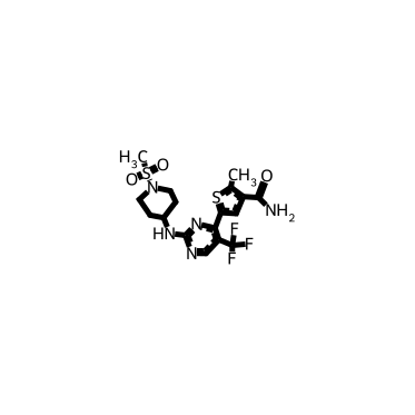 Cc1sc(-c2nc(NC3CCN(S(C)(=O)=O)CC3)ncc2C(F)(F)F)cc1C(N)=O